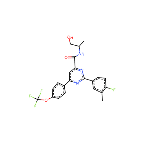 Cc1cc(-c2nc(C(=O)NC(C)CO)cc(-c3ccc(OC(F)(F)F)cc3)n2)ccc1F